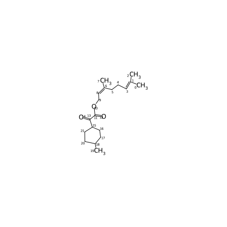 CC(C)=CCCC(C)=CCOC(=O)C(=O)C1CCC(C)CC1